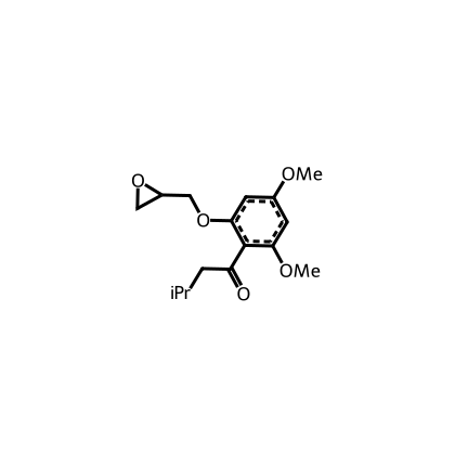 COc1cc(OC)c(C(=O)CC(C)C)c(OCC2CO2)c1